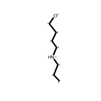 CCCNCCCCCl